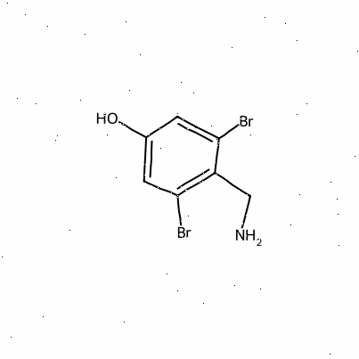 NCc1c(Br)cc(O)cc1Br